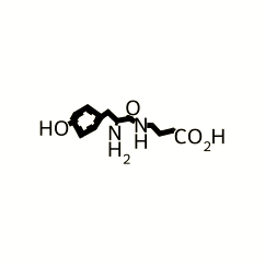 N[C@@H](Cc1ccc(O)cc1)C(=O)NCCCC(=O)O